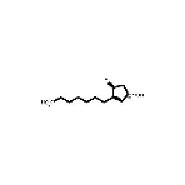 O=C(O)CCCCCCC1=C[C@@H](O)CC1=O